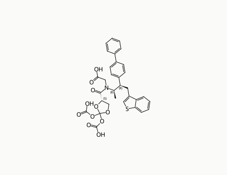 C[C@H]([C@H](Cc1csc2ccccc12)c1ccc(-c2ccccc2)cc1)N(CC(=O)O)C(=O)[C@@H]1COC(OC(=O)O)(OC(=O)O)O1